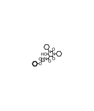 O=C(CNC(=O)C1C(=O)N(C2CCCCC2)C(=O)N(C2CCCCC2)C1O)Oc1ccccc1